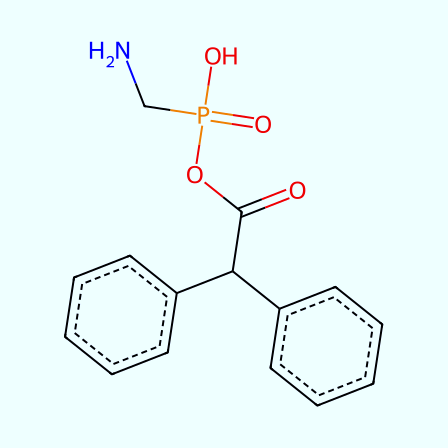 NCP(=O)(O)OC(=O)C(c1ccccc1)c1ccccc1